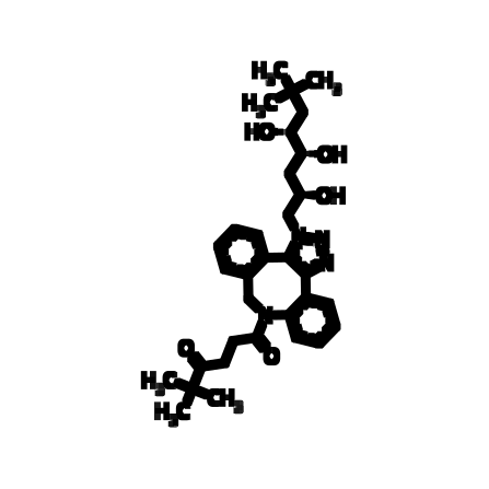 CC(C)(C)C[C@@H](O)[C@H](O)C[C@@H](O)Cn1nnc2c1-c1ccccc1CN(C(=O)CCC(=O)C(C)(C)C)c1ccccc1-2